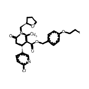 CC1=C(C(=O)OCc2ccc(OCCI)cc2)[C@H](c2ccc(Cl)nc2)CC(=O)N1C[C@H]1CCCO1